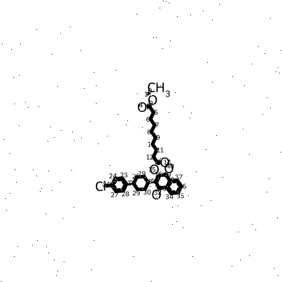 CCOC(=O)CCCCCCCCC(=O)OC1=C([C@H]2CC[C@H](c3ccc(Cl)cc3)CC2)C(=O)c2ccccc2C1=O